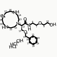 Cl.Cl.Cl.O=C(NCCOCCO)[C@@H](COCc1ccccc1)N1CCNCCNCCNCC1